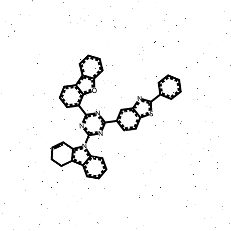 C1=Cc2c(c3ccccc3n2-c2nc(-c3ccc4sc(-c5ccccc5)nc4c3)nc(-c3cccc4c3oc3ccccc34)n2)CC1